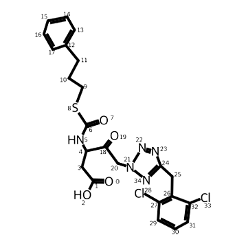 O=C(O)CC(NC(=O)SCCCc1ccccc1)C(=O)Cn1nnc(Cc2c(Cl)cccc2Cl)n1